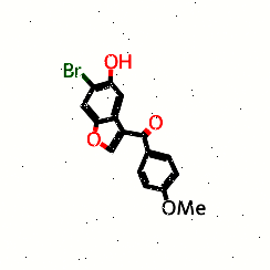 COc1ccc(C(=O)c2coc3cc(Br)c(O)cc23)cc1